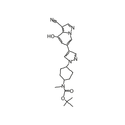 CN(C(=O)OC(C)(C)C)C1CCC(n2cc(-c3cc(O)c4c(C#N)cnn4c3)cn2)CC1